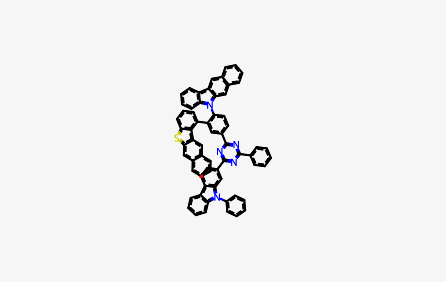 c1ccc(-c2nc(-c3ccc(-n4c5ccccc5c5cc6ccccc6cc54)c(-c4cccc5sc6cc7ccccc7cc6c45)c3)nc(-c3ccc4c5ccccc5n(-c5ccccc5)c4c3)n2)cc1